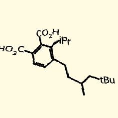 CC(CCc1ccc(C(=O)O)c(C(=O)O)c1C(C)C)CC(C)(C)C